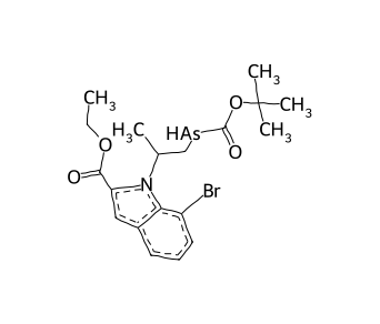 CCOC(=O)c1cc2cccc(Br)c2n1C(C)C[AsH]C(=O)OC(C)(C)C